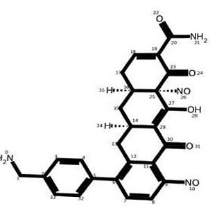 NCc1ccc(-c2ccc(N=O)c3c2C[C@H]2C[C@H]4CC=C(C(N)=O)C(=O)[C@@]4(N=O)C(O)=C2C3=O)cc1